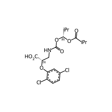 CC(C)C(=O)O[C@H](OC(=O)NC[C@H](Oc1cc(Cl)ccc1Cl)C(=O)O)C(C)C